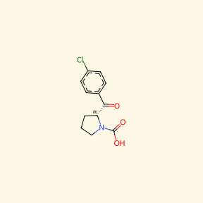 O=C(c1ccc(Cl)cc1)[C@H]1CCCN1C(=O)O